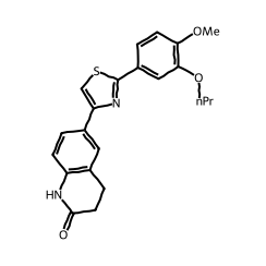 CCCOc1cc(-c2nc(-c3ccc4c(c3)CCC(=O)N4)cs2)ccc1OC